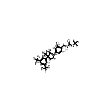 CC(C)(C)OC(=O)NCc1ccc(N2CCC(c3cc(C(F)(F)F)cc(C(F)(F)F)c3)(C(F)(F)F)C2=O)cc1Cl